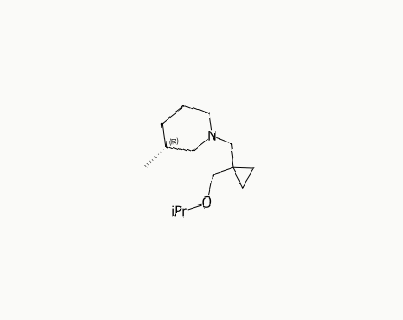 CC(C)OCC1(CN2CCC[C@@H](C)C2)CC1